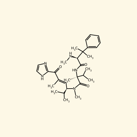 CN[C@H](C(=O)N[C@](C)(C(=O)N(C)[C@H](/C=C(\C)C(=O)c1ncc[nH]1)C(C)C)C(C)C)C(C)(C)c1ccccc1